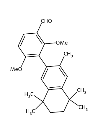 COc1ccc(C=O)c(OC)c1-c1cc2c(cc1C)C(C)(C)CCC2(C)C